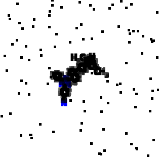 CC[C@@H]1C[C@@H]2C[C@H](C)CC(c3ccc(-c4cccc5c(-c6nc(-c7ccccc7)nc(-c7ccc(C#N)cc7)n6)cccc45)cc3)(C1)C2